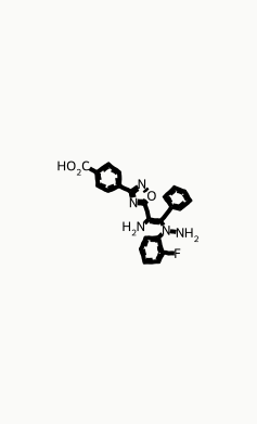 N/C(=C(/c1ccccc1)N(N)c1ccccc1F)c1nc(-c2ccc(C(=O)O)cc2)no1